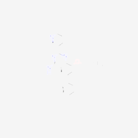 CNc1nc(-c2cccnc2)nc2c(OCC(C)C)cc(-c3ccc(F)cc3F)cc12